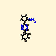 NC1CCCC1c1nnc(-c2ccccc2)nn1